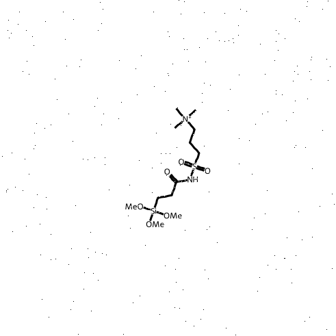 CO[Si](CCC(=O)NS(=O)(=O)CCC[N+](C)(C)C)(OC)OC